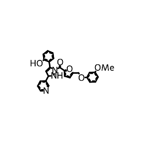 COc1cccc(OCc2ccc(C(=O)N3NC(c4cccnc4)C=C3c3ccccc3O)o2)c1